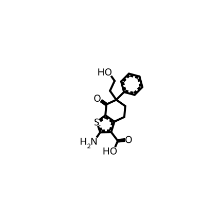 Nc1sc2c(c1C(=O)O)CCC(CCO)(c1ccccc1)C2=O